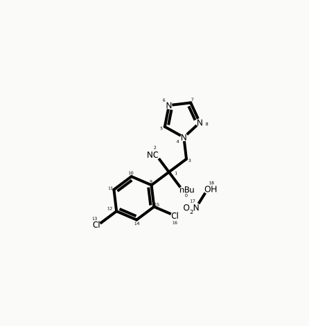 CCCCC(C#N)(Cn1cncn1)c1ccc(Cl)cc1Cl.O=[N+]([O-])O